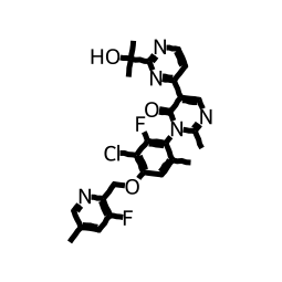 Cc1cnc(COc2cc(C)c(-n3c(C)ncc(-c4ccnc(C(C)(C)O)n4)c3=O)c(F)c2Cl)c(F)c1